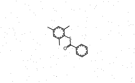 Cc1cc(C)c(SC(=O)c2ccccc2)c(C)c1